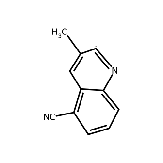 Cc1[c]nc2cccc(C#N)c2c1